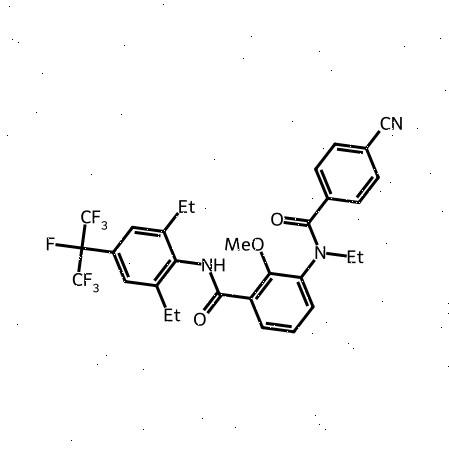 CCc1cc(C(F)(C(F)(F)F)C(F)(F)F)cc(CC)c1NC(=O)c1cccc(N(CC)C(=O)c2ccc(C#N)cc2)c1OC